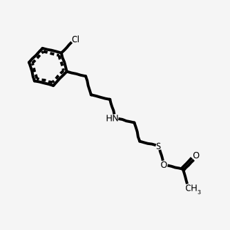 CC(=O)OSCCNCCCc1ccccc1Cl